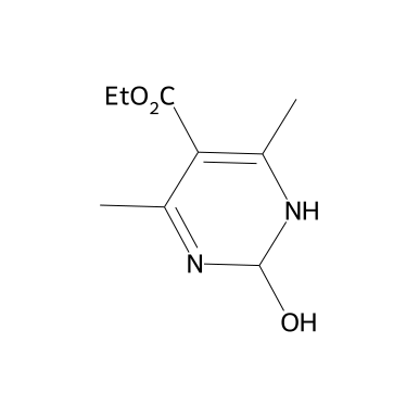 CCOC(=O)C1=C(C)NC(O)N=C1C